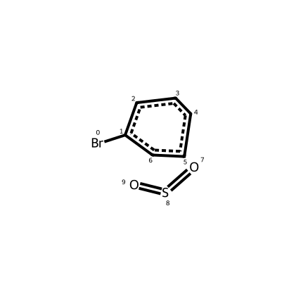 Brc1ccccc1.O=S=O